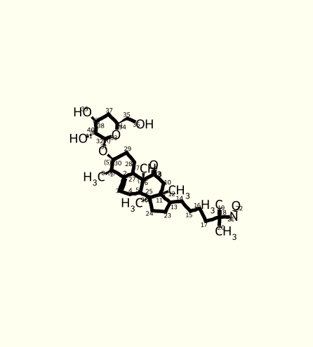 C[C@@H]1C2=CCC3[C@@](C)(C(=O)C[C@]4(C)C(CCCCC(C)(C)N=O)CC[C@@]34C)C2CC[C@@H]1O[C@@H]1O[C@H](CO)C[C@H](O)[C@H]1O